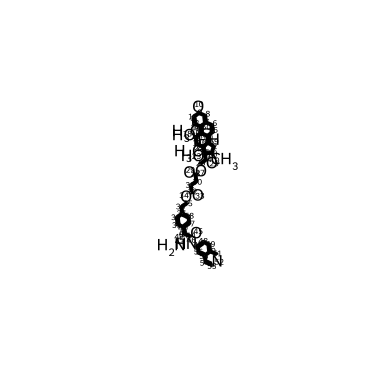 C[C@@H]1C[C@H]2[C@@H]3CCC4=CC(=O)C=C[C@]4(C)[C@@]3(F)[C@@H](O)C[C@]2(C)[C@@]1(O)C(=O)COC(=O)CCC(=O)OCCc1ccc([C@@H](CN)C(=O)Nc2ccc3cnccc3c2)cc1